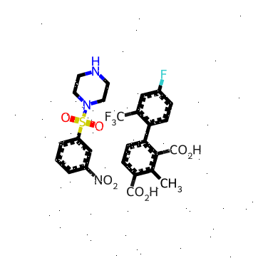 Cc1c(C(=O)O)ccc(-c2ccc(F)cc2C(F)(F)F)c1C(=O)O.O=[N+]([O-])c1cccc(S(=O)(=O)N2CCNCC2)c1